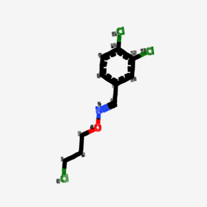 ClCCCON=Cc1ccc(Cl)c(Cl)c1